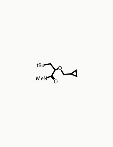 CNC(=O)C(CC(C)(C)C)OCC1CC1